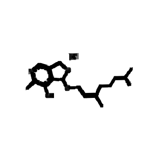 CC(C)=CCCC(C)=CCOC1OCc2cnc(C)c(O)c21.Cl